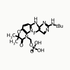 CC(C)(C)Nc1ncc(F)c(Nc2ccc3c(n2)N(COP(=O)(O)O)C(=O)C(C)(C)O3)n1